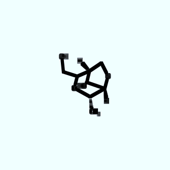 C[C@@H]1OC(CO)[C@@H]2CO[C@H]1C2O